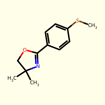 CSc1ccc(C2=NC(C)(C)CO2)cc1